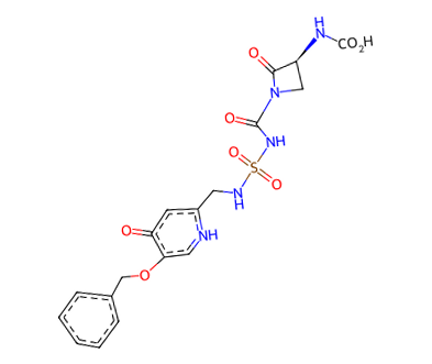 O=C(O)N[C@H]1CN(C(=O)NS(=O)(=O)NCc2cc(=O)c(OCc3ccccc3)c[nH]2)C1=O